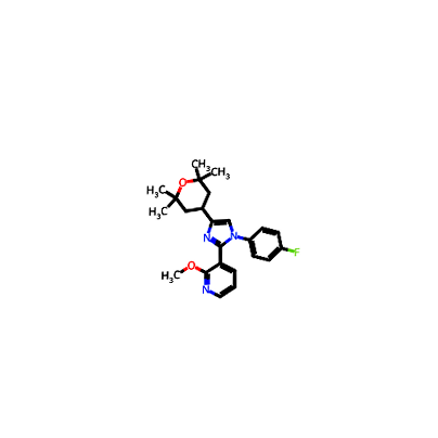 COc1ncccc1-c1nc(C2CC(C)(C)OC(C)(C)C2)cn1-c1ccc(F)cc1